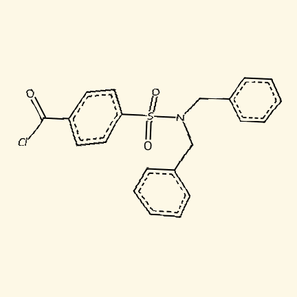 O=C(Cl)c1ccc(S(=O)(=O)N(Cc2ccccc2)Cc2ccccc2)cc1